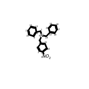 O=[N+]([O-])c1ccc(CN(Cc2ccccc2)Cc2ccccc2)cc1